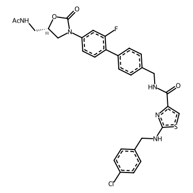 CC(=O)NC[C@H]1CN(c2ccc(-c3ccc(CNC(=O)c4csc(NCc5ccc(Cl)cc5)n4)cc3)c(F)c2)C(=O)O1